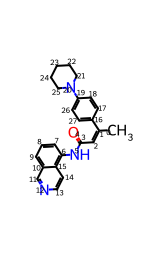 C/C(=C/C(=O)Nc1cccc2cnccc12)c1ccc(N2CCCCC2)cc1